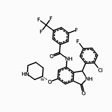 O=C(Nc1cc(O[C@H]2CCCNC2)cc2c1C(c1cc(F)ccc1Cl)NC2=O)c1cc(F)cc(C(F)(F)F)c1